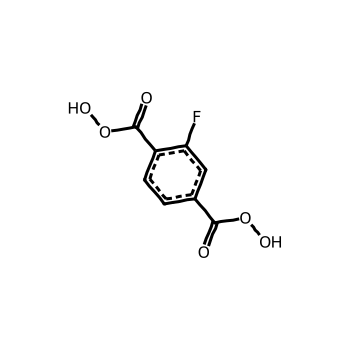 O=C(OO)c1ccc(C(=O)OO)c(F)c1